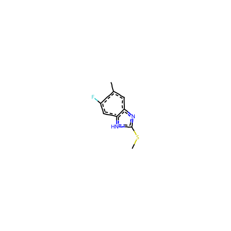 CSc1nc2cc(C)c(F)cc2[nH]1